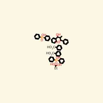 CC(C(O)c1ccccc1)C(O)c1ccccc1.CCC(O)O.O=C(O)c1ccccc1.O=C(O)c1ccccc1.O=P(O)(c1ccccc1)c1ccccc1.O=P(O)(c1ccccc1)c1ccccc1